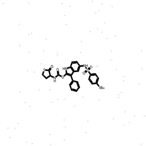 CC(C)(C)c1ccc(S(=O)(=O)Nc2ccc3[nH]c(OC(=O)NC4CCSC4=O)c(-c4ccccc4)c3c2)cc1